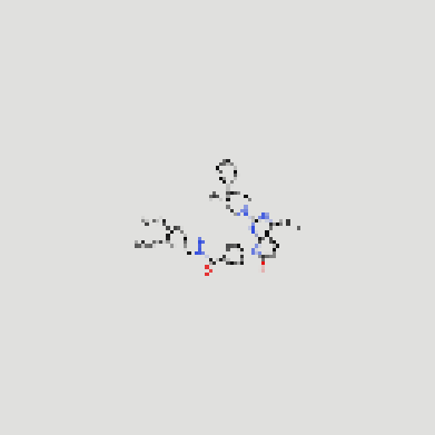 COc1ccc(CNC(=O)c2ccc(-n3c(=O)ccc4c(C)nc(N5CCC(C(C)=O)(c6ccccc6)CC5)nc43)cc2)cc1OC